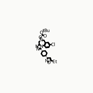 CCc1cc([C@H]2CC[C@@H](c3nnc4n3-c3ccc(Cl)cc3CN(OC(=O)OC(C)(C)C)C4)CC2)no1